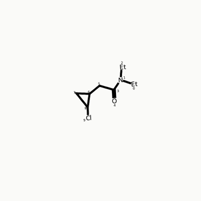 CCN(CC)C(=O)CC1CC1Cl